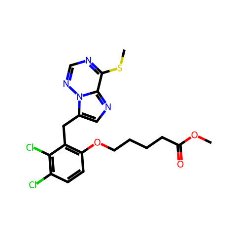 COC(=O)CCCCOc1ccc(Cl)c(Cl)c1Cc1cnc2c(SC)ncnn12